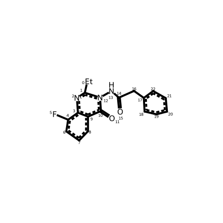 CCc1nc2c(F)cccc2c(=O)n1NC(=O)Cc1ccccc1